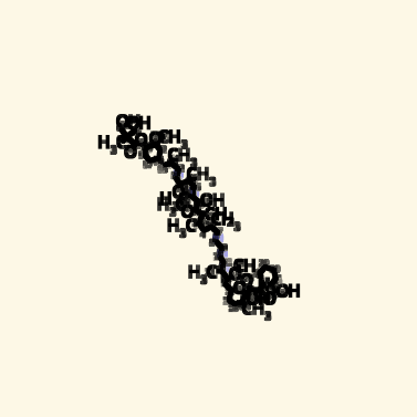 C=C([C@H](C)C[C@H](C)/C=C/C=C/C=C(\C)[C@H](CC1CC[C@@H](C)[C@](O)(C(=O)C(=O)N2CCCC[C@H]2C(=O)O)O1)OC)[C@H](OC)[C@H](O)/C(C)=C/[C@@H](C)C(O)/C=C/[C@H](C)C[C@@H]1CC[C@@H](OC(=O)C(C)(CO)CO)[C@H](OC)C1